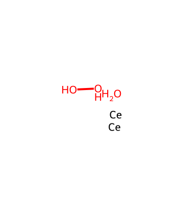 O.OO.[Ce].[Ce]